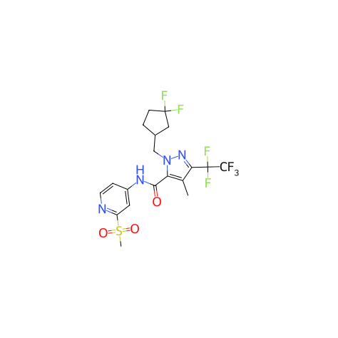 Cc1c(C(F)(F)C(F)(F)F)nn(CC2CCC(F)(F)C2)c1C(=O)Nc1ccnc(S(C)(=O)=O)c1